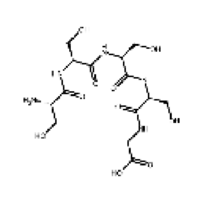 N[C@@H](CO)C(=O)N[C@@H](CO)C(=O)N[C@@H](CO)C(=O)N[C@@H](CO)C(=O)NCC(=O)O